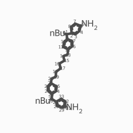 CCCCC(c1ccc(N)cc1)c1ccc(CCCCCCCCc2ccc(C(CCCC)c3ccc(N)cc3)cc2)cc1